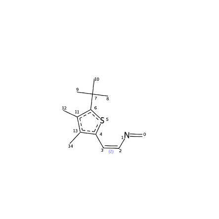 C=N/C=C\c1sc(C(C)(C)C)c(C)c1C